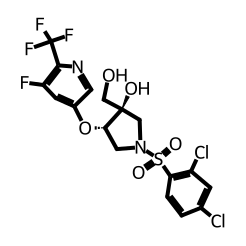 O=S(=O)(c1ccc(Cl)cc1Cl)N1C[C@H](Oc2cnc(C(F)(F)F)c(F)c2)[C@](O)(CO)C1